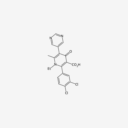 CCn1c(C)c(-c2cncnc2)c(=O)c(C(=O)O)c1-c1ccc(Cl)c(Cl)c1